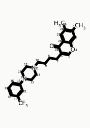 Cc1cc2occ(CCCCN3CCN(c4cccc(C(F)(F)F)c4)CC3)c(=O)c2cc1C